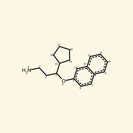 NCCC(Oc1ccc2ccccc2c1)C1CCCC1